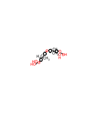 CC(C)(c1ccc(Oc2ccc(C(C)(C)c3ccc(OC(O)CO)cc3)cc2)cc1)c1ccc(OC(O)CO)cc1